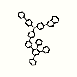 c1ccc(-c2ccc(N(c3ccc(-c4cccc(-c5cc(-c6ccccc6)cc(-c6ccccc6)c5-c5ccccc5)c4)cc3)c3ccc(-c4ccc5ccccc5c4)cc3)cc2)cc1